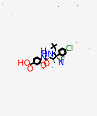 COc1cc(C(=O)O)ccc1NC(=O)[C@@H]1N[C@@H](CC(C)(C)C)[C@](C#N)(c2ccc(Cl)cc2F)[C@H]1C